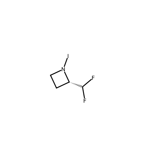 FC(F)[C@@H]1CCN1I